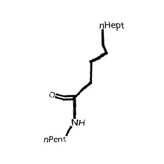 CCCCCCCCCCC(=O)NCCCCC